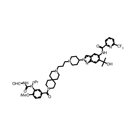 CCCN(C(=O)NC=O)c1cc(C(=O)N2CCC3(CCN(CCCN4CCC(n5cc6cc(NC(=O)c7cccc(C(F)(F)F)n7)c(C(C)(C)O)cc6n5)CC4)CC3)CC2)ccc1OC